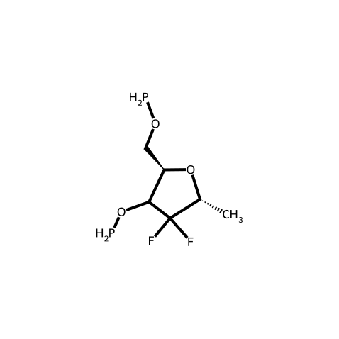 C[C@H]1O[C@H](COP)C(OP)C1(F)F